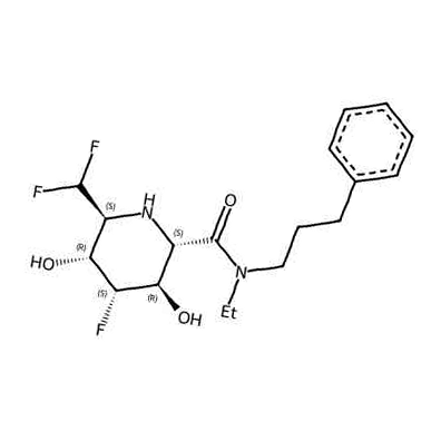 CCN(CCCc1ccccc1)C(=O)[C@H]1N[C@H](C(F)F)[C@@H](O)[C@@H](F)[C@@H]1O